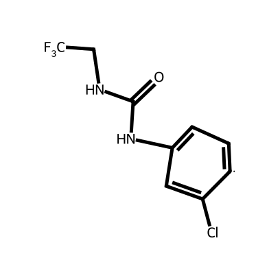 O=C(NCC(F)(F)F)Nc1cc[c]c(Cl)c1